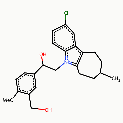 COc1ccc(C(O)Cn2c3c(c4cc(Cl)ccc42)CCC(C)CC3)cc1CO